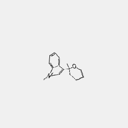 Cn1cc(C2(C)CCCCO2)c2ccccc21